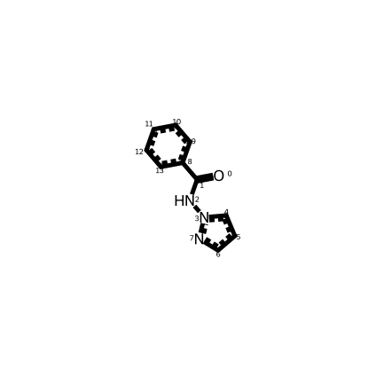 O=C(Nn1cccn1)c1ccccc1